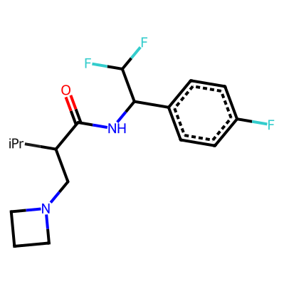 CC(C)C(CN1CCC1)C(=O)NC(c1ccc(F)cc1)C(F)F